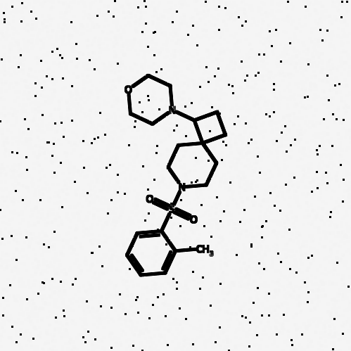 Cc1ccccc1S(=O)(=O)N1CCC2(CCC2N2CCOCC2)CC1